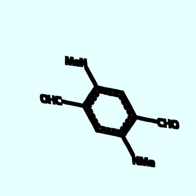 CNc1cc(C=O)c(NC)cc1C=O